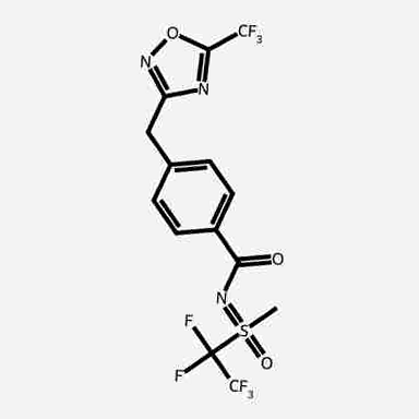 CS(=O)(=NC(=O)c1ccc(Cc2noc(C(F)(F)F)n2)cc1)C(F)(F)C(F)(F)F